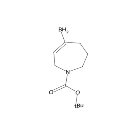 BC1=CCN(C(=O)OC(C)(C)C)CCC1